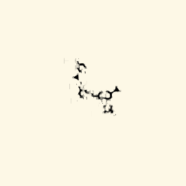 Cc1cc(NC(=O)[C@H]2C[C@@H]2c2nccc(C)n2)nc(OCc2cn3cc(C4CC4)cc(N4CC(=O)N(C)C4=O)c3n2)n1